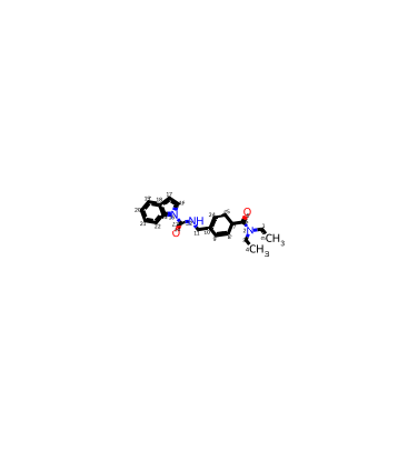 CCN(CC)C(=O)C1C=CC(CNC(=O)n2ccc3ccccc32)=CC1